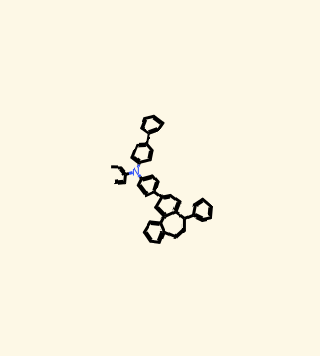 C=C/C(=C\C)N(c1ccc(-c2ccccc2)cc1)c1ccc(-c2ccc3c(c2)-c2ccccc2CCC3c2ccccc2)cc1